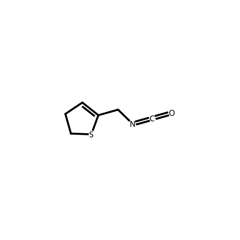 O=C=NCC1=CCCS1